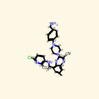 Cc1cc([C@@H](C)Nc2ccc(Cl)nc2C(=O)O)c2nc(N3CCN(c4ccc(CN)cc4)CC3)c(C#N)nc2c1